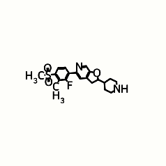 Cc1c(S(C)(=O)=O)ccc(-c2cc3c(cn2)OC(C2CCNCC2)C3)c1F